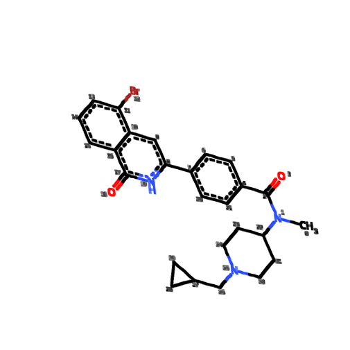 CN(C(=O)c1ccc(-c2cc3c(Br)cccc3c(=O)[nH]2)cc1)C1CCN(CC2CC2)CC1